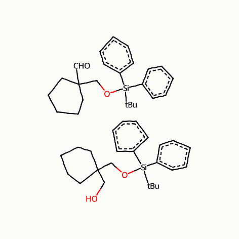 CC(C)(C)[Si](OCC1(C=O)CCCCC1)(c1ccccc1)c1ccccc1.CC(C)(C)[Si](OCC1(CO)CCCCC1)(c1ccccc1)c1ccccc1